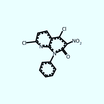 O=c1c([N+](=O)[O-])c(Cl)c2ccc(Cl)nc2n1-c1ccccc1